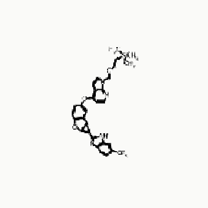 C[Si](C)(C)CCOCn1ccc2c(Oc3ccc4c(c3)C3C(O4)C3c3nc4ccc(C(F)(F)F)cc4[nH]3)ccnc21